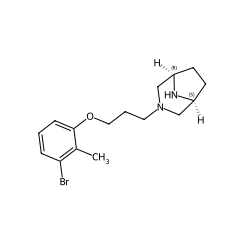 Cc1c(Br)cccc1OCCCN1C[C@H]2CC[C@@H](C1)N2